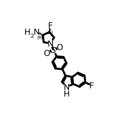 N[C@@H]1CN(S(=O)(=O)c2ccc(-c3c[nH]c4cc(F)ccc34)cc2)C[C@@H]1F